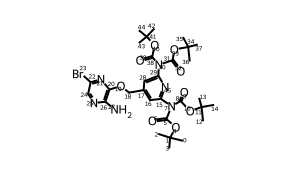 CC(C)(C)OC(=O)N(C(=O)OC(C)(C)C)c1cc(COc2nc(Br)cnc2N)cc(N(C(=O)OC(C)(C)C)C(=O)OC(C)(C)C)n1